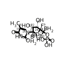 BC(B)(OP(=O)(O)O)[C@@]1(F)O[C@@](B)(n2cc(C)c(=O)[nH]c2=O)[C@H](O)[C@@H]1O